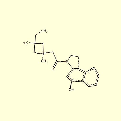 CCC1(C)CC(C)(CC(=O)N2CCc3c2cc(O)c2ccccc32)C1